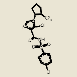 O=C(NS(=O)(=O)c1ccc(Cl)cc1)c1ncn(C2CCCC2C(F)(F)F)c1Cl